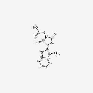 CN1/C(=C2\SC(=S)N(CC(=O)O)C2=O)Sc2ccccc21